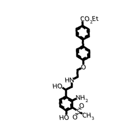 CCOC(=O)c1ccc(-c2ccc(OCCNCC(O)c3ccc(O)c(S(C)(=O)=O)c3N)cc2)cc1